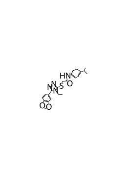 CCn1c(SCC(=O)NC2=CC=C(C(C)C)CC2)nnc1-c1ccc2c(c1)OCO2